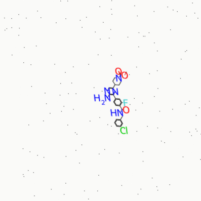 COC(=O)N1CCC(c2cnc(N)c(-c3ccc(C(=O)NCc4cccc(Cl)c4)c(F)c3)n2)CC1